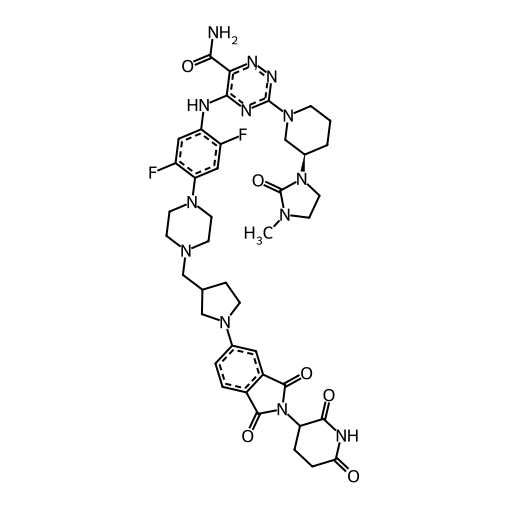 CN1CCN([C@@H]2CCCN(c3nnc(C(N)=O)c(Nc4cc(F)c(N5CCN(CC6CCN(c7ccc8c(c7)C(=O)N(C7CCC(=O)NC7=O)C8=O)C6)CC5)cc4F)n3)C2)C1=O